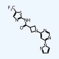 O=C(Nc1ncc(C(F)(F)F)s1)C1CN(c2cc(-n3cccn3)ncn2)C1